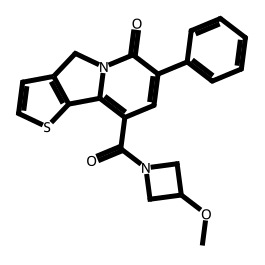 COC1CN(C(=O)c2cc(-c3ccccc3)c(=O)n3c2-c2sccc2C3)C1